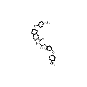 CC(C)(C)c1ccc(Oc2ccc3cnc(C(=O)N[C@@H](Cc4ccc(Oc5ccc(C(F)(F)F)cc5)cc4)C(=O)O)cc3c2)cc1